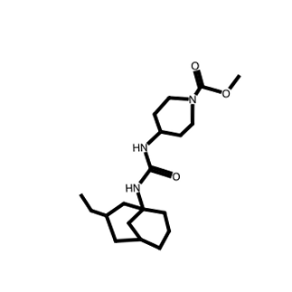 CCC1CC2CCCC(NC(=O)NC3CCN(C(=O)OC)CC3)(C1)C2